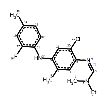 CCN(C)/C=N\c1cc(C)c(Nc2ccc(C)cc2F)cc1Cl